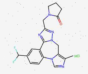 Cc1ncn2c1Cn1nc(CN3CCCC3=O)nc1-c1cc(C(F)F)ccc1-2.Cl